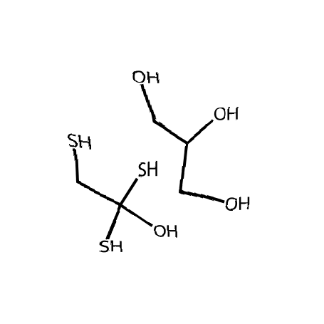 OC(S)(S)CS.OCC(O)CO